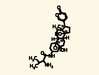 CC(C)C(N)C(=O)NC1CC[C@]2(C)[C@H]3CC[C@]4(C)[C@@H](c5ccc(=O)oc5)CC[C@]4(O)[C@@H]3CC[C@]2(O)C1